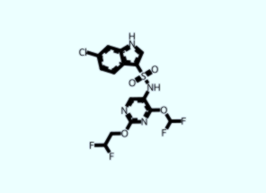 O=S(=O)(Nc1cnc(OCC(F)F)nc1OC(F)F)c1c[nH]c2cc(Cl)ccc12